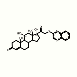 CC12CCC(=O)C=C1CCC1C2[C@@H](O)CC2(C)C1CC[C@]2(O)C(=O)CSc1cnc2ccccc2n1